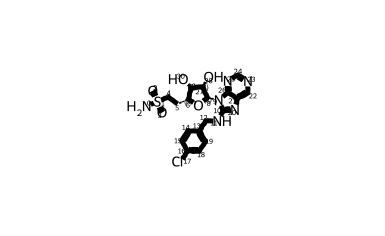 NS(=O)(=O)CC[C@H]1O[C@@H](n2c(NCc3ccc(Cl)cc3)nc3cncnc32)[C@H](O)[C@@H]1O